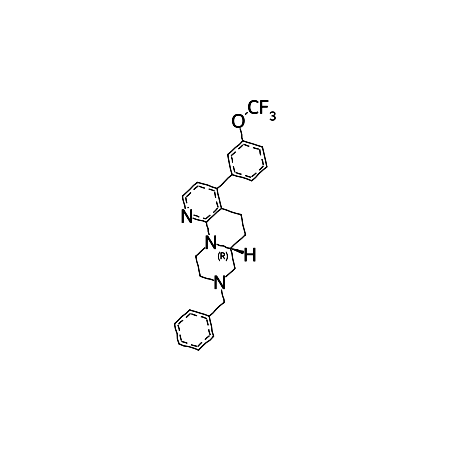 FC(F)(F)Oc1cccc(-c2ccnc3c2CC[C@@H]2CN(Cc4ccccc4)CCN32)c1